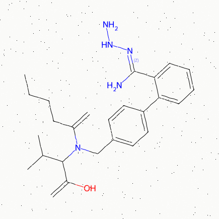 C=C(O)C(C(C)C)N(Cc1ccc(-c2ccccc2/C(N)=N/NN)cc1)C(=C)CCCC